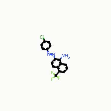 Nc1c(N=Nc2ccc(Cl)cc2)ccc2c(C(F)(F)F)cccc12